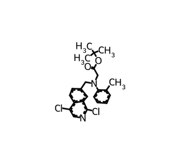 Cc1ccccc1N(CC(=O)OC(C)(C)C)Cc1ccc2c(Cl)cnc(Cl)c2c1